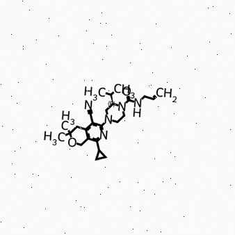 C=CCNC(=O)N1CCN(c2nc(C3CC3)c3c(c2C#N)CC(C)(C)OC3)C[C@H]1C(C)C